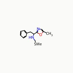 CSCNC(Cc1ccccc1)c1ncc(C)o1